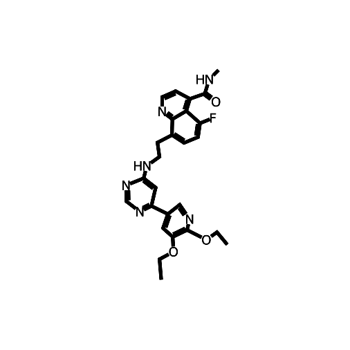 CCOc1cc(-c2cc(NCCc3ccc(F)c4c(C(=O)NC)ccnc34)ncn2)cnc1OCC